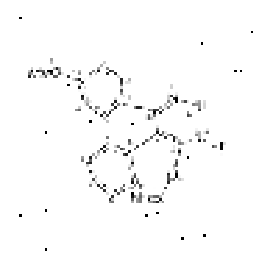 CCCCCCOC1=C(c2ccccc2)C(c2ccc(OC)cc2)=NNN1CC